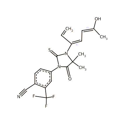 C=C/C(=C\C=C(/C)O)N1C(=S)N(c2ccc(C#N)c(C(F)(F)F)c2)C(=O)C1(C)C